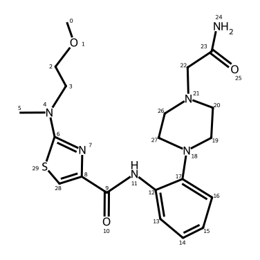 COCCN(C)c1nc(C(=O)Nc2ccccc2N2CCN(CC(N)=O)CC2)cs1